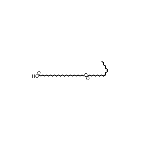 CCCCC/C=C\C/C=C\CCCCCCCC(=O)OCCCCCCCCCCCCCCCCCCCCCCCC(=O)O